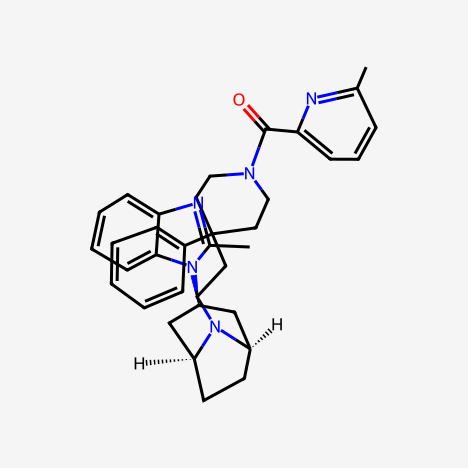 Cc1cccc(C(=O)N2CCC(CCN3[C@@H]4CC[C@H]3C[C@@H](n3c(C)nc5ccccc53)C4)(c3ccccc3)CC2)n1